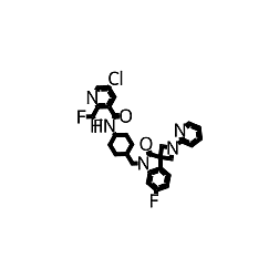 O=C(NC1CCC(CN2C(=O)C3(CN(c4ccccn4)C3)c3ccc(F)cc32)CC1)c1cc(Cl)cnc1C(F)F